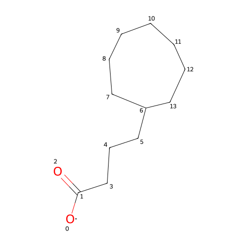 [O]C(=O)CCCC1CCCCCCC1